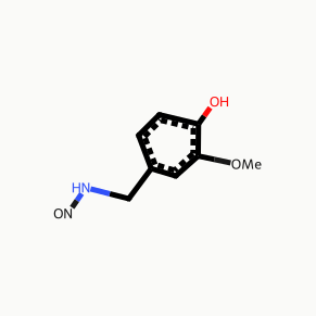 COc1cc(CNN=O)ccc1O